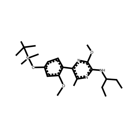 CCC(CC)Nc1nc(C)c(-c2ccc(O[Si](C)(C)C(C)(C)C)cc2OC)nc1OC